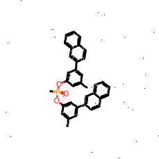 Cc1cc(OP(C)(=O)Oc2cc(C)cc(-c3ccc4ccccc4c3)c2)cc(-c2ccc3ccccc3c2)c1